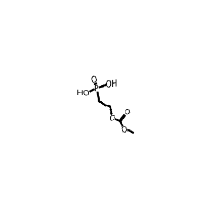 COC(=O)OCCP(=O)(O)O